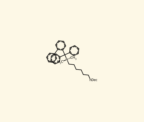 CCCCCCCCCCCCCCCC[N+](C)(C)C(c1ccccc1)(c1ccccc1)c1ccccc1-c1ccccc1